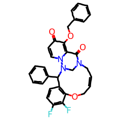 O=C1c2c(OCc3ccccc3)c(=O)ccn2N2CN1C/C=C\COc1c(ccc(F)c1F)C2c1ccccc1